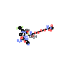 CC(C)(C)C(c1cc(-c2cc(F)ccc2F)cn1Cc1ccccc1)N(CCCNC(=O)C(CC(N)=O)NC(=O)Cc1ccncc1)C(=O)CSCC(NC(=O)CCOCCOCCOCCOCCNC(=O)CN1C(=O)C=CC1=O)C(=O)O